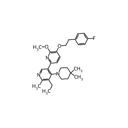 CCc1c(C)ncc(-c2ccc(OCCc3ccc(F)cc3)c(OC)n2)c1N1CCC(C)(C)CC1